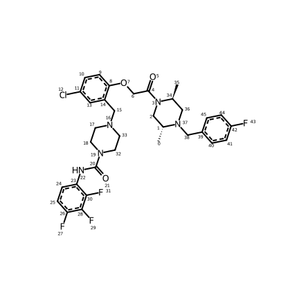 C[C@@H]1CN(C(=O)COc2ccc(Cl)cc2CN2CCN(C(=O)Nc3ccc(F)c(F)c3F)CC2)[C@@H](C)CN1Cc1ccc(F)cc1